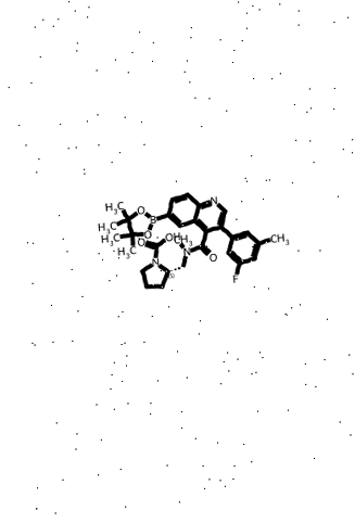 Cc1cc(F)cc(-c2cnc3ccc(B4OC(C)(C)C(C)(C)O4)cc3c2C(=O)N(C)C[C@@H]2CCCN2C(=O)O)c1